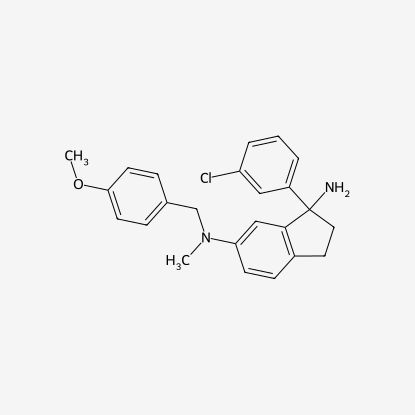 COc1ccc(CN(C)c2ccc3c(c2)C(N)(c2cccc(Cl)c2)CC3)cc1